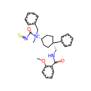 COc1ccccc1C(=O)NC[C@]1(c2ccccc2)CC[C@H]([N+](C)(Cc2ccccc2)C(=O)N=S)CC1